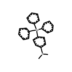 CN(C)c1cc[c]([Sn]([c]2ccccc2)([c]2ccccc2)[c]2ccccc2)cc1